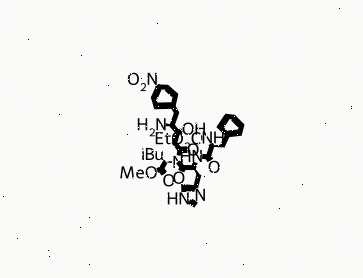 CCOC(=O)N[C@@H](Cc1ccccc1)C(=O)N[C@@H](Cc1c[nH]cn1)C(=O)N(C(=O)CC(O)[C@@H](N)Cc1ccc([N+](=O)[O-])cc1)[C@H](C(=O)OC)[C@@H](C)CC